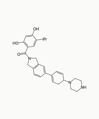 CC(C)c1cc(C(=O)N2Cc3ccc(C4=CCC(N5CCNCC5)C=C4)cc3C2)c(O)cc1O